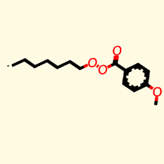 [CH2]CCCCCCOOC(=O)c1ccc(OC)cc1